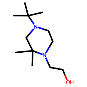 CC(C)(C)N1CCN(CCO)C(C)(C)C1